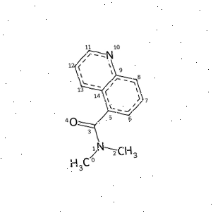 CN(C)C(=O)c1cccc2ncccc12